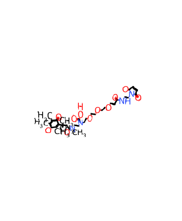 CC1=C(C)C(=O)C(C(C)(C)CC(=O)N(C)CCN(CCOCCOCCOCCC(=O)NCCN2C(=O)C=CC2=O)C(=O)O)=C(C)C1=O